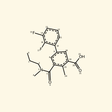 CCCN(C)C(=O)c1cc(-c2cccc(F)c2F)cc(C(=O)O)c1C